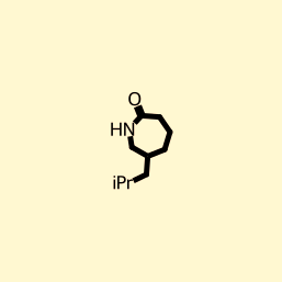 CC(C)CC1CCCC(=O)NC1